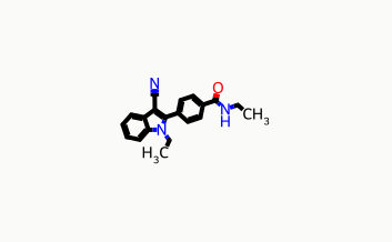 CCNC(=O)c1ccc(-c2c(C#N)c3ccccc3n2CC)cc1